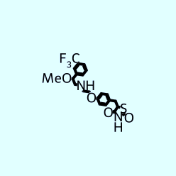 COC(CNCCOc1ccc(CC2SC(=O)NC2=O)cc1)c1cccc(C(F)(F)F)c1